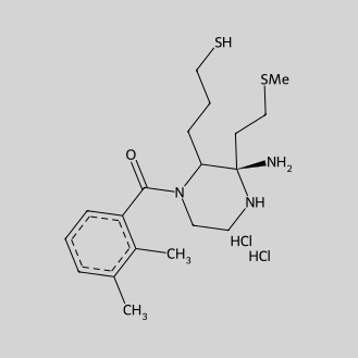 CSCC[C@]1(N)NCCN(C(=O)c2cccc(C)c2C)C1CCCS.Cl.Cl